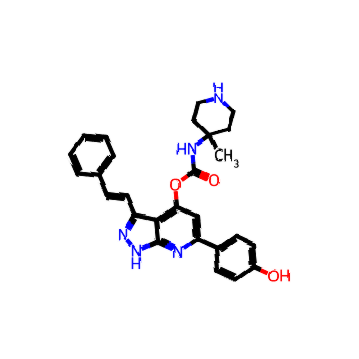 CC1(NC(=O)Oc2cc(-c3ccc(O)cc3)nc3[nH]nc(/C=C/c4ccccc4)c23)CCNCC1